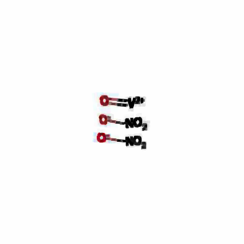 O=[N+]([O-])[O-].O=[N+]([O-])[O-].[O]=[V+2]